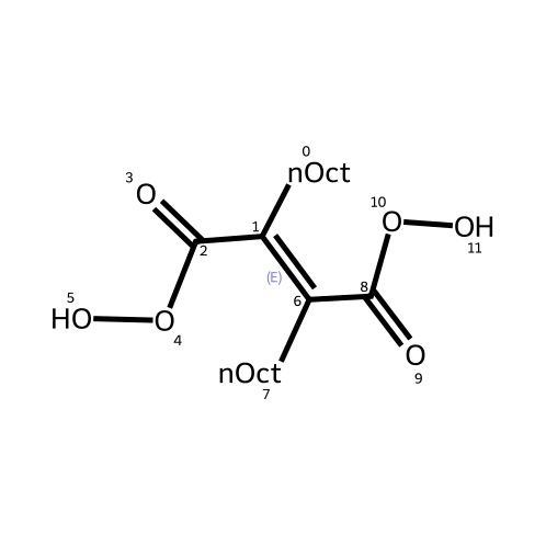 CCCCCCCC/C(C(=O)OO)=C(/CCCCCCCC)C(=O)OO